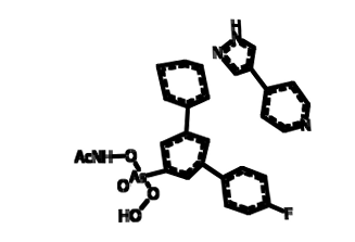 CC(=O)NO[As](=O)(OO)c1cc(-c2ccccc2)cc(-c2ccc(F)cc2)c1.c1cc(-c2cn[nH]c2)ccn1